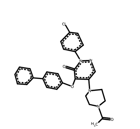 CC(=O)N1CCN(c2cnn(-c3ccc(Cl)cc3)c(=O)c2Oc2ccc(-c3ccccc3)cc2)CC1